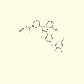 N#CCC(=O)N1CCCC(n2nc(-c3ccc(Oc4cc(F)cc(F)c4F)cc3F)c3c(N)ncnc32)C1